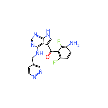 Nc1ccc(F)c(C(=O)c2c[nH]c3ncnc(NCc4ccnnc4)c23)c1F